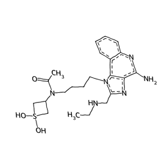 CCNCc1nc2c(N)nc3ccccc3c2n1CCCCN(C(C)=O)C1CS(O)(O)C1